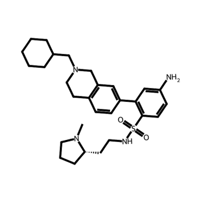 CN1CCC[C@H]1CCNS(=O)(=O)c1ccc(N)cc1-c1ccc2c(c1)CN(CC1CCCCC1)CC2